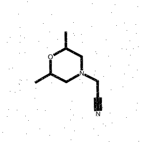 CC1CN(CC#N)CC(C)O1